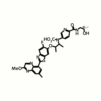 COc1cnc2c(-c3nc4cc(F)c(OC(C)C(C)N(C(=O)O)c5ccc(C(=O)NC[C@H](C)O)nc5)cc4s3)cc(C)cc2n1